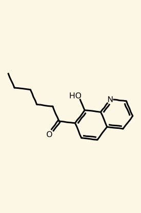 CCCCCC(=O)c1ccc2cccnc2c1O